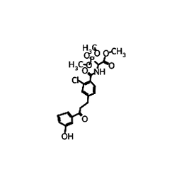 COC(=O)C(NC(=O)c1ccc(CCC(=O)c2cccc(O)c2)cc1Cl)P(=O)(OC)OC